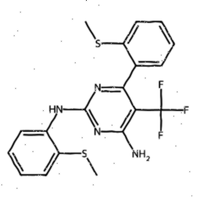 CSc1ccccc1Nc1nc(N)c(C(F)(F)F)c(-c2ccccc2SC)n1